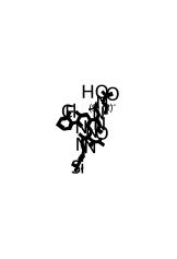 Cc1nc(C#C[Si](C)(C)C)nc(C(C)C)c1-n1c(=O)nc(N2C[C@@H](C)N(C(=O)O)C[C@@H]2C)c2cc(Cl)c(-c3ccccc3F)nc21